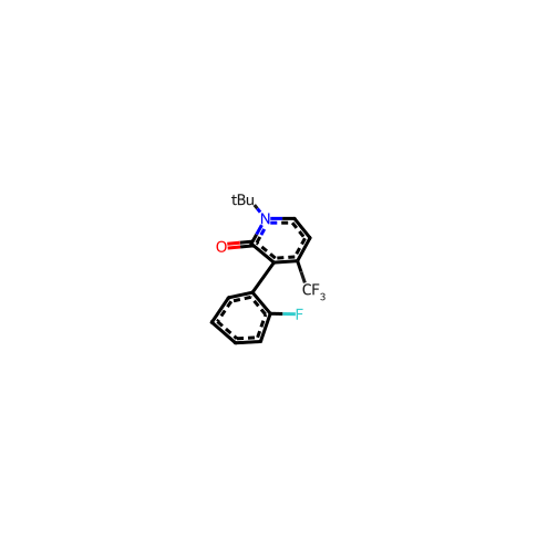 CC(C)(C)n1ccc(C(F)(F)F)c(-c2ccccc2F)c1=O